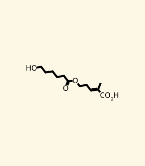 CC(=CCCOC(=O)CCCCCO)C(=O)O